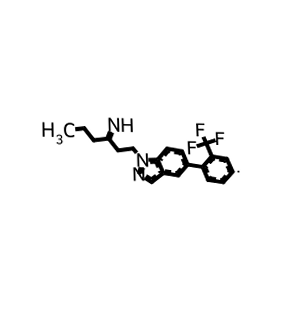 CCCC(=N)CCn1ncc2cc(-c3cc[c]cc3C(F)(F)F)ccc21